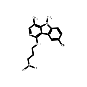 CCN(CC)CCCNc1ncc(C)c2c1c1cc(O)ccc1n2C